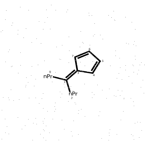 CCCC(CCC)=C1C=CC=C1